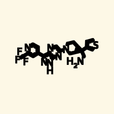 NCC1(c2ccsc2)C2CCN(c3cnc4c(-c5ccnc(C(F)(F)F)c5)n[nH]c4n3)CC21